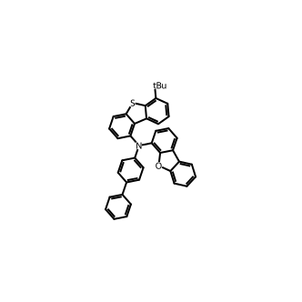 CC(C)(C)c1cccc2c1sc1cccc(N(c3ccc(-c4ccccc4)cc3)c3cccc4c3oc3ccccc34)c12